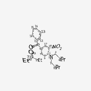 CC(C)CN(CC(C)C)c1ccc(C(=O)c2ccccc2)cc1[N+](=O)[O-].CCC(=O)CC